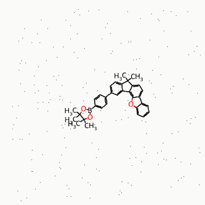 CC1(C)c2ccc(-c3ccc(B4OC(C)(C)C(C)(C)O4)cc3)cc2-c2c1ccc1c2oc2ccccc21